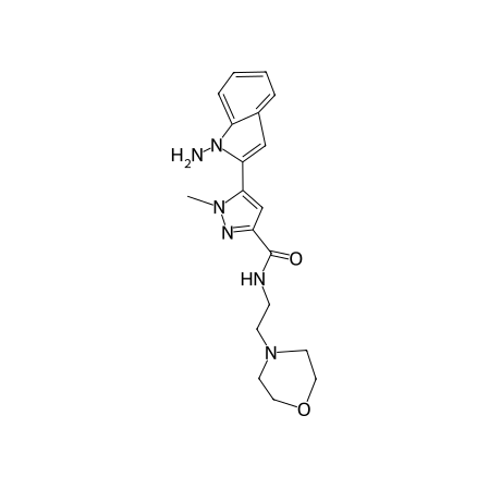 Cn1nc(C(=O)NCCN2CCOCC2)cc1-c1cc2ccccc2n1N